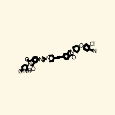 N#Cc1ccc(OC2CCC(N3Cc4cc(C#CC5CCN(C6CN(c7ccc8c(c7)C(=O)N(C7CCC(=O)NC7=O)C8=O)C6)CC5)ccc4C3=O)CC2)cc1Cl